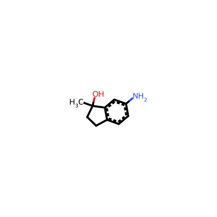 CC1(O)CCc2ccc(N)cc21